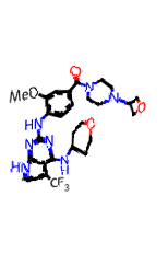 COc1cc(C(=O)N2CCN(C3COC3)CC2)ccc1Nc1nc(NC2CCOCC2)c2c(C(F)(F)F)c[nH]c2n1